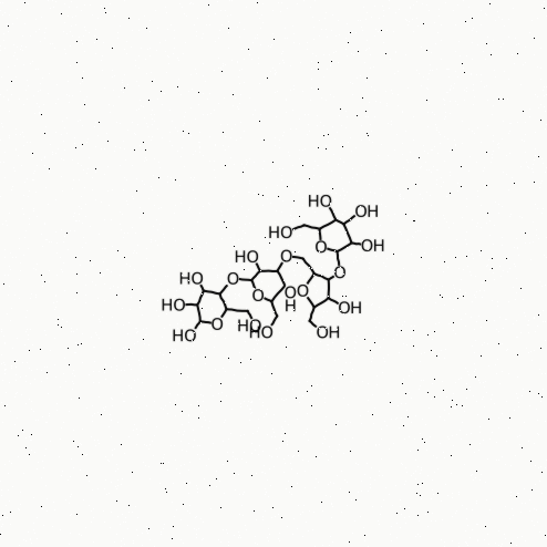 OCC1OC(OC2C(COC3C(O)C(CO)OC(OC4C(CO)OC(O)C(O)C4O)C3O)OC(CO)C2O)C(O)C(O)C1O